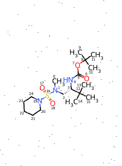 CN(C[C@H](NC(=O)OC(C)(C)C)C(C)(C)C)S(=O)(=O)N1CCCCC1